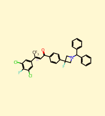 O=C(/C=C(/c1cc(Cl)c(F)c(Cl)c1)C(F)(F)F)c1ccc(C2(F)CN(C(c3ccccc3)c3ccccc3)C2)cc1